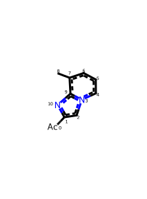 CC(=O)c1cn2cccc(C)c2n1